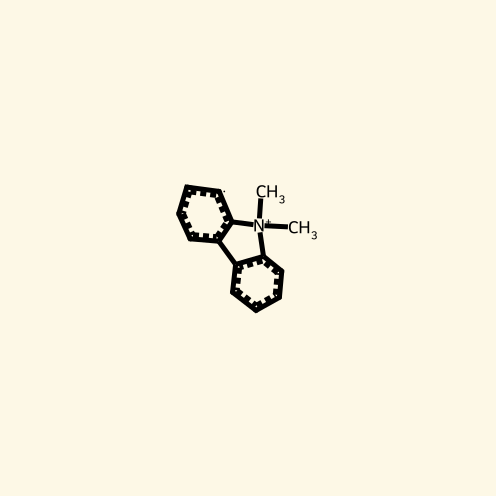 C[N+]1(C)c2[c]cccc2-c2ccccc21